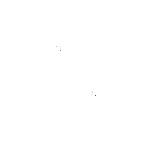 CCN1CC2CNCC21